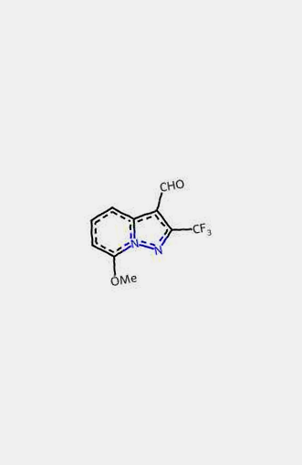 COc1cccc2c(C=O)c(C(F)(F)F)nn12